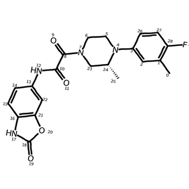 Cc1cc(N2CCN(C(=O)C(=O)Nc3ccc4[nH]c(=O)oc4c3)C[C@H]2C)ccc1F